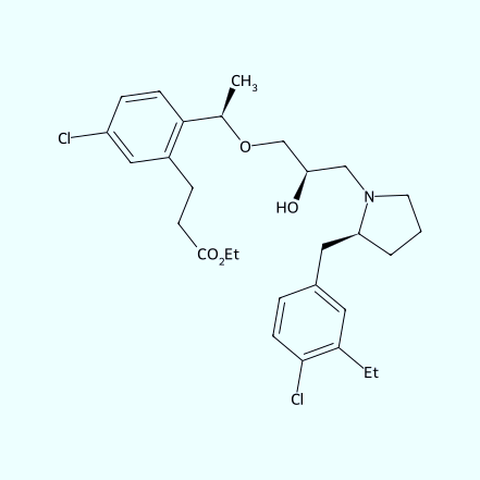 CCOC(=O)CCc1cc(Cl)ccc1[C@@H](C)OC[C@H](O)CN1CCC[C@H]1Cc1ccc(Cl)c(CC)c1